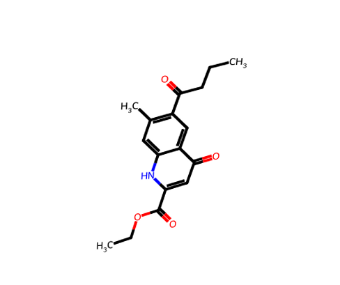 CCCC(=O)c1cc2c(=O)cc(C(=O)OCC)[nH]c2cc1C